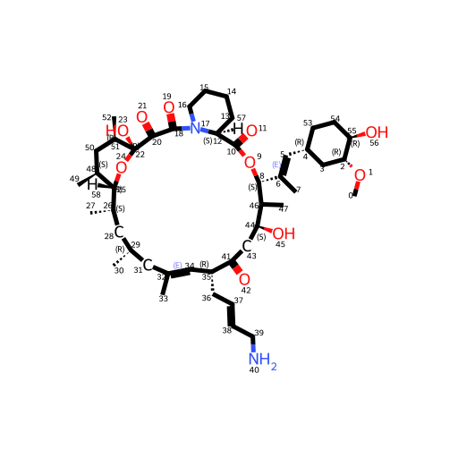 CO[C@@H]1C[C@H](/C=C(\C)[C@H]2OC(=O)[C@@H]3CCCCN3C(=O)C(=O)[C@]3(O)O[C@H]([C@@H](C)C[C@@H](C)C/C(C)=C/[C@@H](CC=CCN)C(=O)C[C@H](O)C2C)[C@@H](C)C[C@H]3C)CC[C@H]1O